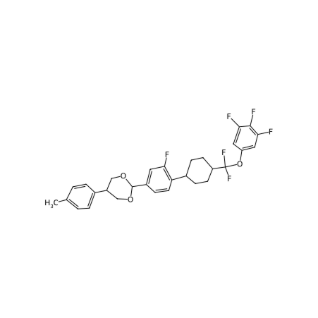 Cc1ccc(C2COC(c3ccc(C4CCC(C(F)(F)Oc5cc(F)c(F)c(F)c5)CC4)c(F)c3)OC2)cc1